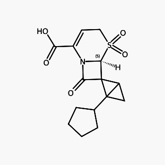 O=C(O)C1=CCS(=O)(=O)[C@@H]2N1C(=O)C21C2CC21C1CCCC1